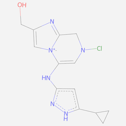 OCC1=C[N+]2C(Nc3cc(C4CC4)[nH]n3)=CN(Cl)CC2=N1